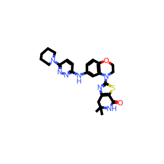 CC1(C)Cc2nc(N3CCOc4ccc(Nc5ccc(N6CCCCC6)nn5)cc43)sc2C(=O)N1